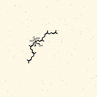 CC(C)=CCCC(C)=CCCC(C)=CCC(CC=C(C)CCC=C(C)CCC=C(C)C)([PH](=O)CO)P(=O)(O)O